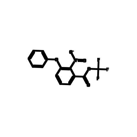 O=C(OC(F)(F)F)c1cccc(Oc2ccccc2)c1[N+](=O)[O-]